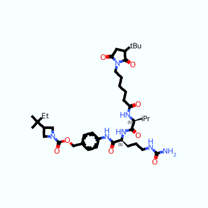 CCC(C)(C)C1CN(C(=O)OCc2ccc(NC(=O)[C@H](CCCNC(N)=O)NC(=O)[C@@H](NC(=O)CCCCCN3C(=O)CC(C(C)(C)C)C3=O)C(C)C)cc2)C1